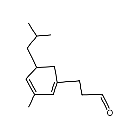 CC1=CC(CC(C)C)CC(CCC=O)=C1